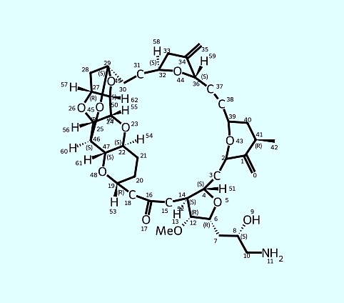 C=C1C2C[C@@H]3O[C@H](C[C@H](O)CN)[C@H](OC)[C@H]3CC(=O)C[C@H]3CC[C@@H]4O[C@@H]5[C@H]6O[C@@H]7C[C@](CC[C@H]8CC(=C)[C@H](CCC(C[C@H]1C)O2)O8)(O[C@H]6[C@H]4O3)O[C@H]57